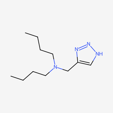 CCCCN(CCCC)Cc1c[nH]nn1